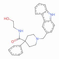 O=C(NCCO)C1(c2ccccc2)CCN(Cc2ccc3[nH]c4ccccc4c3c2)CC1